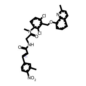 Cc1ccc2cccc(OCc3c(Cl)ccc(N(C)C(=O)CNC(=O)/C=C/c4ccc([N+](=O)[O-])c(C)c4)c3Cl)c2n1